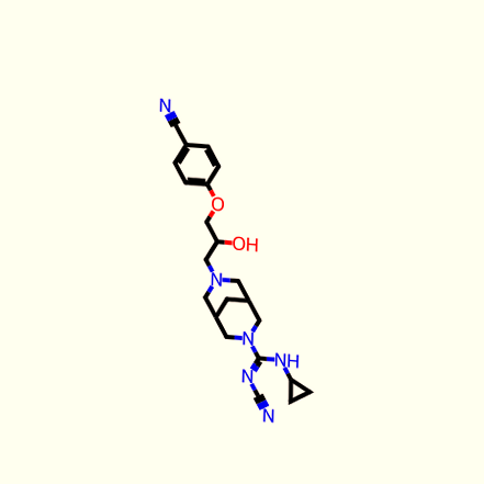 N#C/N=C(\NC1CC1)N1CC2CC(CN(CC(O)COc3ccc(C#N)cc3)C2)C1